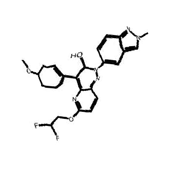 COC1CC=C(C2=c3nc(OCC(F)F)ccc3=NN(c3ccc4nn(C)cc4c3)C2O)CC1